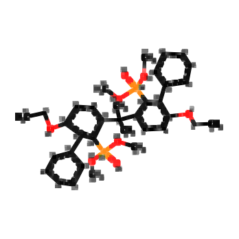 CCOc1ccc(C(C)(C)c2ccc(OCC)c(-c3ccccc3)c2P(=O)(OC)OC)c(P(=O)(OC)OC)c1-c1ccccc1